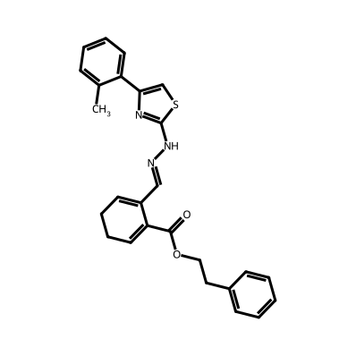 Cc1ccccc1-c1csc(N/N=C/C2=CCCC=C2C(=O)OCCc2ccccc2)n1